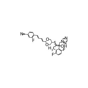 C[C@@H](SC1COC(C=CC=Cc2ccc(C#N)cc2F)OC1)[C@](O)(Cn1cncn1)c1cc(F)ccc1F